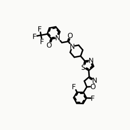 O=C(Cn1cccc(C(F)(F)F)c1=O)N1CCC(c2ncc(C3=NOC(c4c(F)cccc4F)C3)s2)CC1